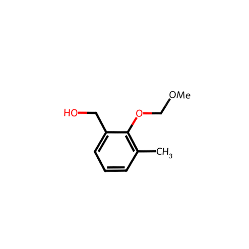 COCOc1c(C)cccc1CO